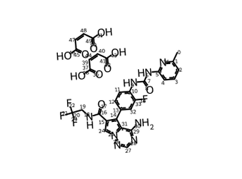 Cc1cccc(NC(=O)Nc2ccc(-c3c(C(=O)NCC(F)(F)F)cn4ncnc(N)c34)cc2F)n1.O=C(O)/C=C\C(=O)O.O=C(O)/C=C\C(=O)O